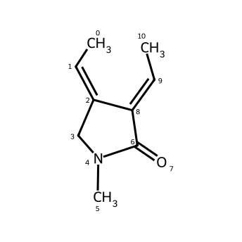 C/C=C1/CN(C)C(=O)/C1=C/C